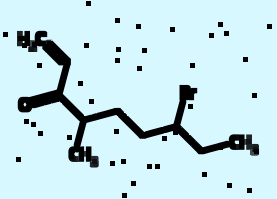 C=CC(=O)C(C)CCC(Br)CC